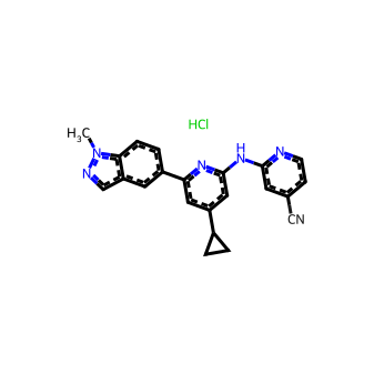 Cl.Cn1ncc2cc(-c3cc(C4CC4)cc(Nc4cc(C#N)ccn4)n3)ccc21